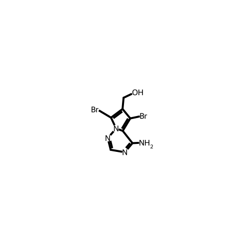 Nc1ncnn2c(Br)c(CO)c(Br)c12